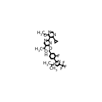 COc1ncnc(C2CC2)c1-c1ncc([C@@H](C)O)c(OCc2ccc(-c3nc(C(F)(F)F)cn3C(C)C)c(F)c2)n1